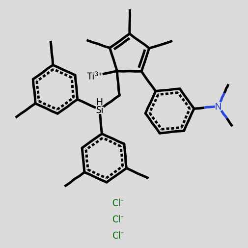 CC1=C(C)[C]([Ti+3])(C[SiH](c2cc(C)cc(C)c2)c2cc(C)cc(C)c2)C(c2cccc(N(C)C)c2)=C1C.[Cl-].[Cl-].[Cl-]